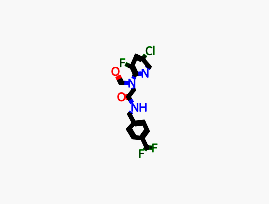 O=CN(CC(=O)NCc1ccc(C(F)F)cc1)c1ncc(Cl)cc1F